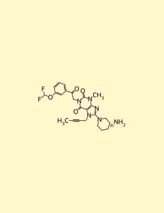 CC#CCn1c(N2CCC[C@@H](N)C2)nc2c1c(=O)n(CC(=O)c1cccc(OC(F)F)c1)c(=O)n2C